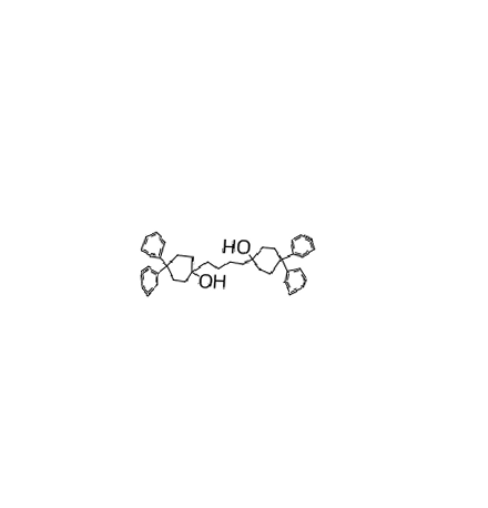 OC1(CCCCC2(O)CCC(c3ccccc3)(c3ccccc3)CC2)CCC(c2ccccc2)(c2ccccc2)CC1